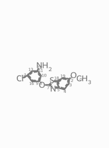 COc1ccc2nc(Oc3cc(N)cc(Cl)c3)sc2c1